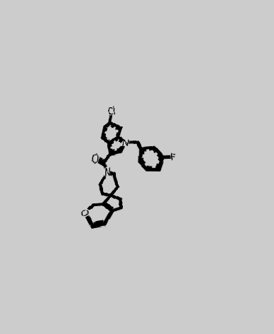 O=C(c1cn(Cc2cccc(F)c2)c2cc(Cl)ccc12)N1CCC2(CCC3=C2COC=C3)CC1